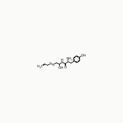 C=CCSSCC(O)NC(=O)[C@@H](N)Cc1ccc(O)cc1